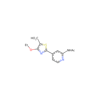 CCOc1nc(-c2ccnc(NC(C)=O)c2)sc1C(=O)O